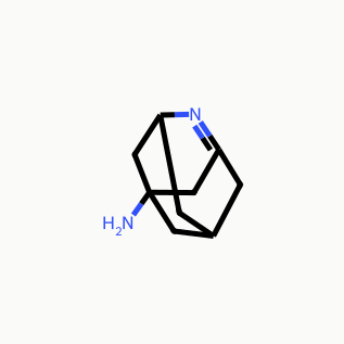 NC12CC3=NC(CC(C3)C1)C2